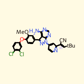 COc1cc(-c2nn(-c3ccnc(/C(C#N)=C/C(C)(C)C)c3)c3ncnc(N)c23)ccc1Oc1ccc(Cl)c(Cl)c1